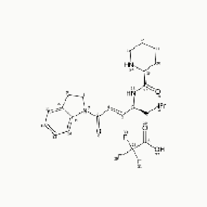 CC(C)C[C@@H](C=CC(=O)N1CCc2ccccc21)NC(=O)[C@@H]1CCCCN1.O=C(O)C(F)(F)F